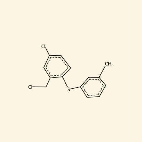 Cc1cccc(Sc2ccc(Cl)cc2CCl)c1